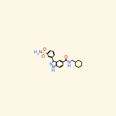 NS(=O)(=O)c1cccc(-c2n[nH]c3ccc(C(=O)NCC4CCCCC4)cc23)c1